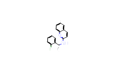 C[C@@H](Nc1ccc2ccccc2n1)c1ccccc1F